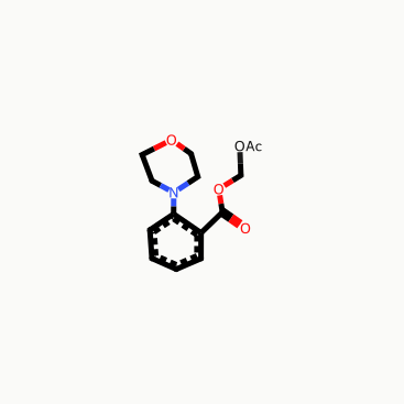 CC(=O)OCOC(=O)c1ccccc1N1CCOCC1